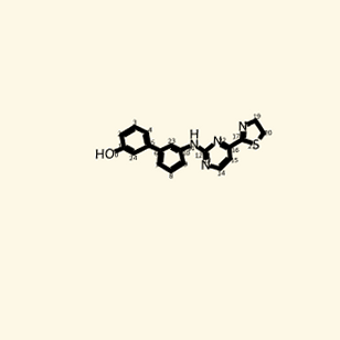 Oc1cccc(-c2cccc(Nc3nccc(C4=NCCS4)n3)c2)c1